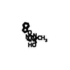 Cc1nc2c(OC3CCc4ccccc43)nccn2c1CO